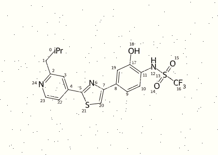 CC(C)Cc1cc(-c2nc(-c3ccc(NS(=O)(=O)C(F)(F)F)c(O)c3)cs2)ccn1